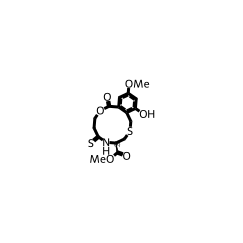 COC(=O)[C@@H]1CSCc2c(O)cc(OC)cc2C(=O)OCCC(=S)N1